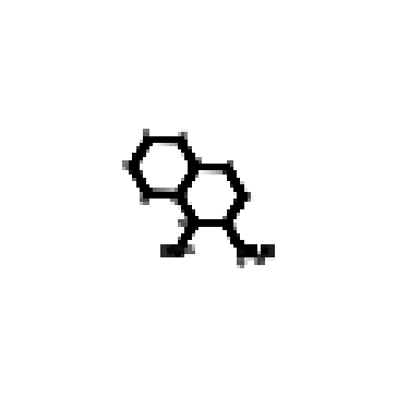 O=C(O)C1CCC2CCCCC2C1O